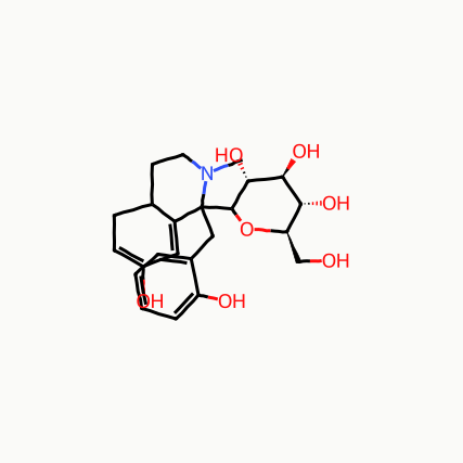 CN1CCC2CC=C(O)C=C2C1(Cc1ccccc1O)C1O[C@H](CO)[C@@H](O)[C@H](O)[C@H]1O